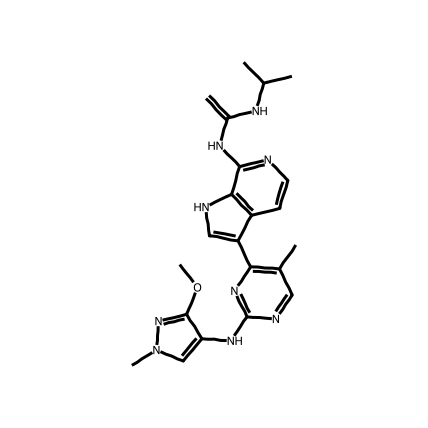 C=C(Nc1nccc2c(-c3nc(Nc4cn(C)nc4OC)ncc3C)c[nH]c12)NC(C)C